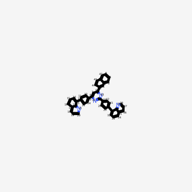 c1ccc2cc(-c3cc(-c4ccc(-c5cccc6cccnc56)cc4)nc(-c4ccc(-c5cccc6cccnc56)cc4)n3)ccc2c1